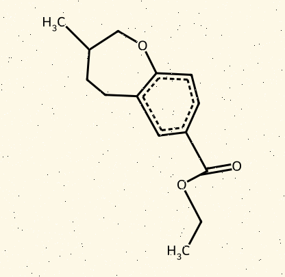 CCOC(=O)c1ccc2c(c1)CCC(C)CO2